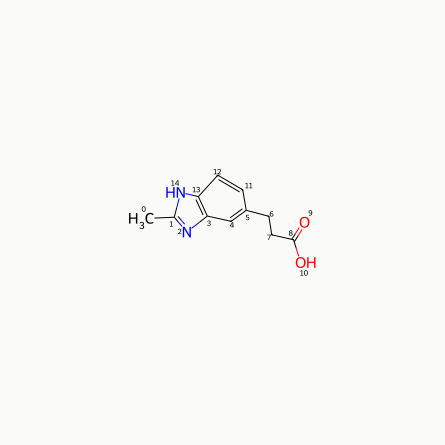 Cc1nc2cc(CCC(=O)O)ccc2[nH]1